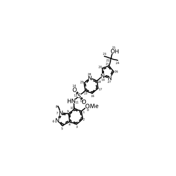 COc1ccc2cnn(C)c2c1NS(=O)(=O)c1ccc(-n2cc(C(C)(C)O)cn2)nc1